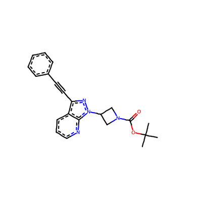 CC(C)(C)OC(=O)N1CC(n2nc(C#Cc3ccccc3)c3cccnc32)C1